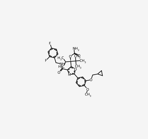 COc1ccc(-c2nc(C(=O)NCc3ccc(F)cc3F)c([C@](OC(N)=O)(C(C)C)C(C)(C)C)o2)cc1OCC1CC1